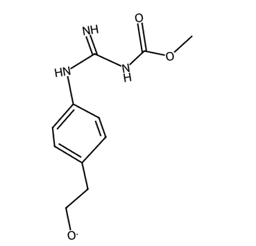 COC(=O)NC(=N)Nc1ccc(CC[O])cc1